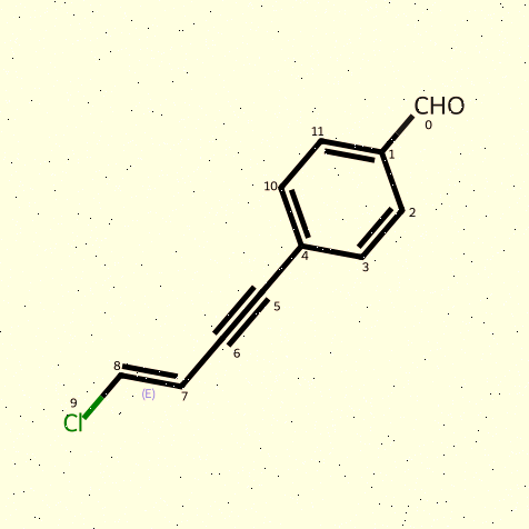 O=Cc1ccc(C#C/C=C/Cl)cc1